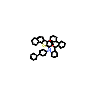 c1ccc(-c2ccc(N(c3ccccc3-c3cc4ccccc4c4ccccc34)c3cccc4c3sc3c5ccccc5ccc43)cc2)cc1